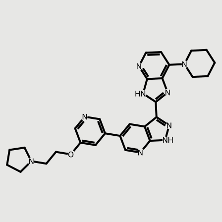 c1cc(N2CCCCC2)c2nc(-c3n[nH]c4ncc(-c5cncc(OCCN6CCCC6)c5)cc34)[nH]c2n1